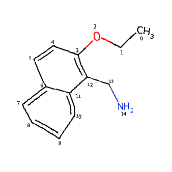 CCOc1ccc2ccccc2c1CN